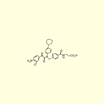 Nc1ccc(NC(=O)N(Cc2ccc(C(=O)NCCC(=O)O)cc2)c2ccc(C3CCCCC3)cc2)cc1Cl